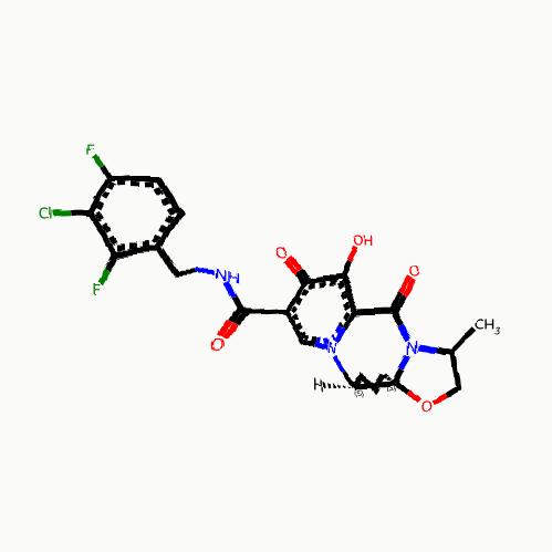 CC1CO[C@@]23CCC[C@@H]2n2cc(C(=O)NCc4ccc(F)c(Cl)c4F)c(=O)c(O)c2C(=O)N13